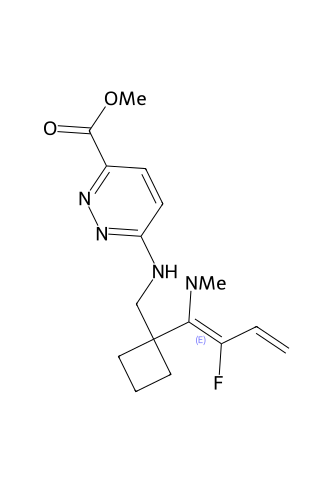 C=C/C(F)=C(\NC)C1(CNc2ccc(C(=O)OC)nn2)CCC1